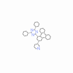 c1ccc(-c2nc(-c3ccccc3)nc(-c3cc(-c4cccnc4)cc4c5ccccc5c5ccccc5c34)n2)cc1